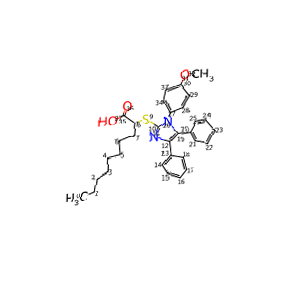 CCCCCCCCC(Sc1nc(-c2ccccc2)c(-c2ccccc2)n1-c1ccc(OC)cc1)C(=O)O